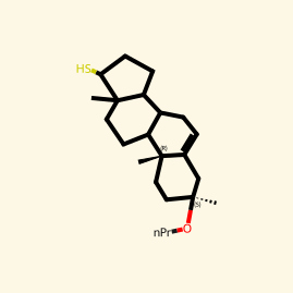 CCCO[C@@]1(C)CC[C@@]2(C)C(=CCC3C4CCC(S)C4(C)CCC32)C1